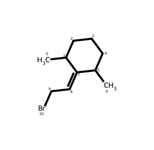 CC1CCCC(C)C1=CCBr